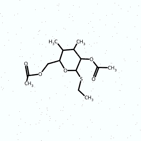 CCSC1OC(COC(C)=O)C(C)C(C)C1OC(C)=O